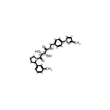 Cc1cccc(C2CCCN2C(=O)[C@H](O)[C@@H](O)C(=O)NCc2ccc(-n3ccc(C)n3)cc2)c1